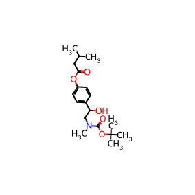 CC(C)CC(=O)Oc1ccc(C(O)CN(C)C(=O)OC(C)(C)C)cc1